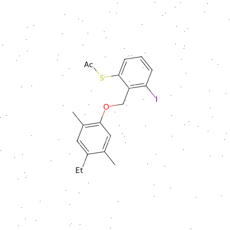 CCc1cc(C)c(OCc2c(I)cccc2SC(C)=O)cc1C